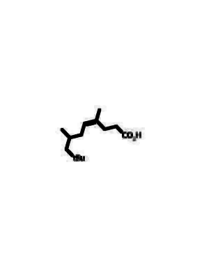 CC(=CCC(C)CC(C)(C)C)CCC(=O)O